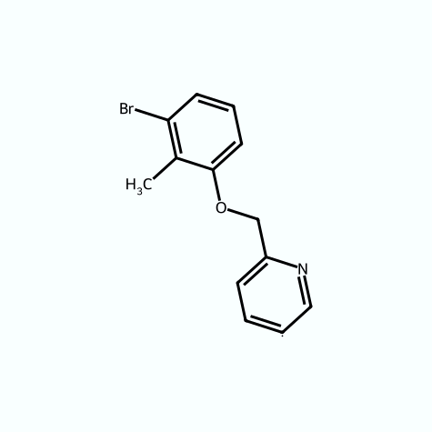 Cc1c(Br)cccc1OCc1cc[c]cn1